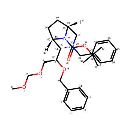 COCOC[C@H](OCc1ccccc1)[C@@H]1[C@@H]2CC[C@H](CN1Cc1ccccc1)N2C(=O)OC(C)(C)C